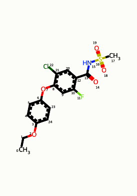 CCOc1ccc(Oc2cc(F)c(C(=O)NS(C)(=O)=O)cc2Cl)cc1